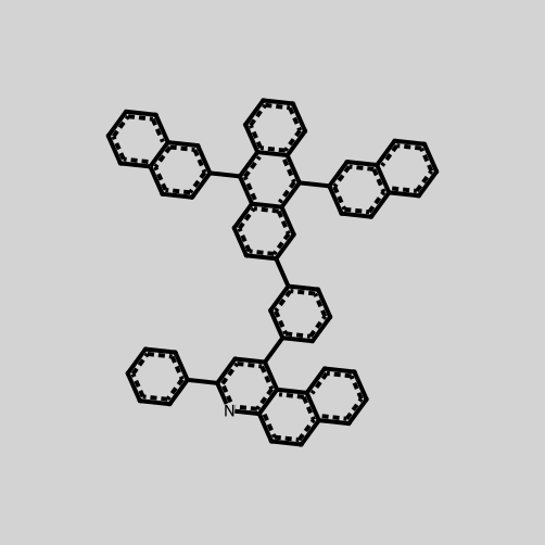 c1ccc(-c2cc(-c3cccc(-c4ccc5c(-c6ccc7ccccc7c6)c6ccccc6c(-c6ccc7ccccc7c6)c5c4)c3)c3c(ccc4ccccc43)n2)cc1